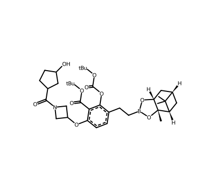 CC(C)(C)OC(=O)Oc1c(CCB2O[C@@H]3C[C@@H]4C[C@@H](C4(C)C)[C@]3(C)O2)ccc(OC2CN(C(=O)C3CCC(O)C3)C2)c1C(=O)OC(C)(C)C